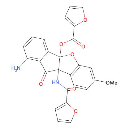 COc1ccc2c(c1)OC1(OC(=O)c3ccco3)c3cccc(N)c3C(=O)C21NC(=O)c1ccco1